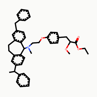 CCOC(=O)C(Cc1ccc(OCCN(C)C2c3ccc(Cc4ccccc4)cc3CCc3cc(C(C)c4ccccc4)ccc32)cc1)OC